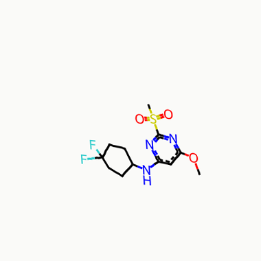 COc1cc(NC2CCC(F)(F)CC2)nc(S(C)(=O)=O)n1